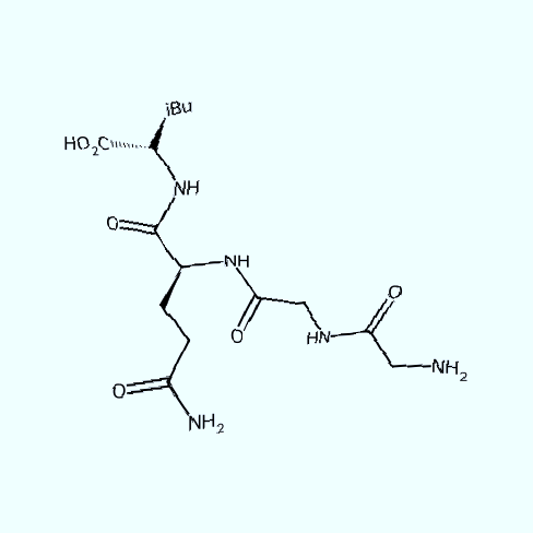 CC[C@H](C)[C@H](NC(=O)[C@H](CCC(N)=O)NC(=O)CNC(=O)CN)C(=O)O